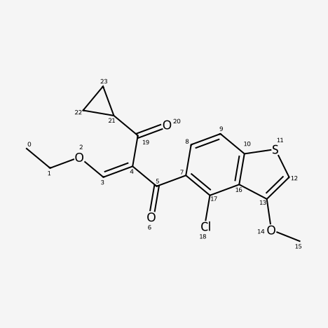 CCOC=C(C(=O)c1ccc2scc(OC)c2c1Cl)C(=O)C1CC1